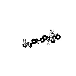 COC(=O)N[C@@H](C(=O)N1CCC[C@H]1c1nc2ccc3cc(-c4cc5ccc(-c6cnc([C@@H]7CCCN7)[nH]6)cc5s4)ccc3c2[nH]1)C1(C)C=CC=CC1